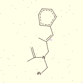 C=C(C)N(C/C(C)=C/c1ccccc1)CC(C)C